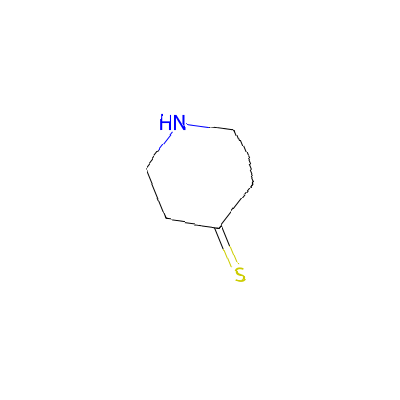 S=C1CCNCC1